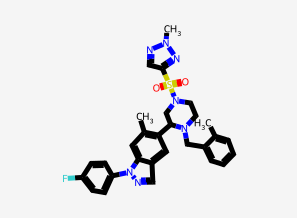 Cc1ccccc1CN1CCN(S(=O)(=O)c2cnn(C)n2)CC1c1cc2cnn(-c3ccc(F)cc3)c2cc1C